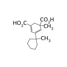 CC1(C(=O)O)C=C(C2(C)CCCCC2)C=C(C(=O)O)C1